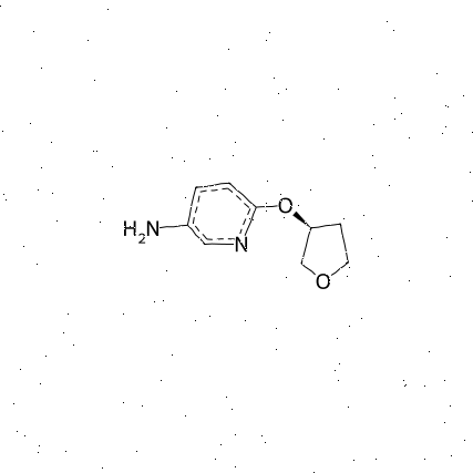 Nc1ccc(O[C@H]2CCOC2)nc1